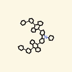 c1ccc(-c2cccc(-c3c4ccccc4c(-c4ccc5c(c4)c4cc(-c6c7ccccc7c(-c7cccc(-c8ccccc8)c7)c7ccccc67)ccc4n5-c4ccccc4)c4ccccc34)c2)cc1